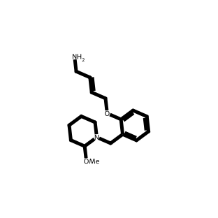 COC1CCCCN1Cc1ccccc1OCC=CCN